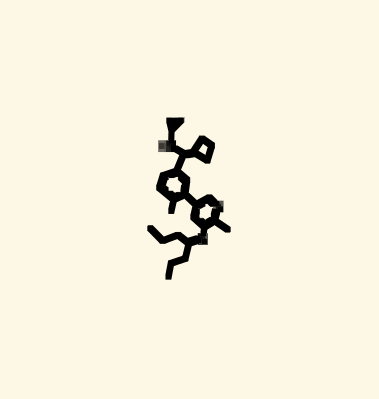 CCCC(CCC)=Nc1cc(-c2cc(C(NC3CC3)=C3CCC3)ccc2C)cnc1C